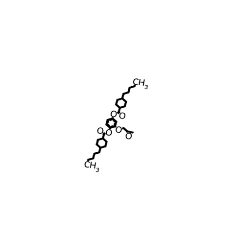 CCCCCC1CCC(C(=O)Oc2ccc(OC(=O)C3CCC(CCCCC)CC3)c(OCC3CO3)c2)CC1